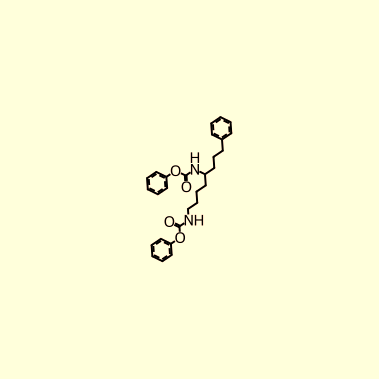 O=C(NCCCCC(CCCc1ccccc1)NC(=O)Oc1ccccc1)Oc1ccccc1